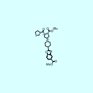 COC(=O)c1ccc2oc(C3CCN([C@H]4C[C@@H](C(=O)N5CCSC5)N(C(=O)OC(C)(C)C)C4)CC3)nc2c1